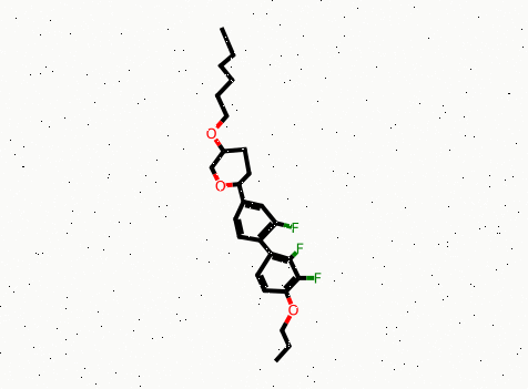 CCCCCCOC1CCC(c2ccc(-c3ccc(OCCC)c(F)c3F)c(F)c2)OC1